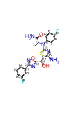 CC(C(N)=O)N(c1ccc(F)cc1)c1nc(N)c(C(O)c2nc(-c3cccc(F)c3)no2)s1